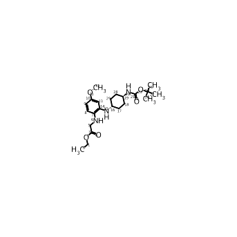 CCOC(=O)CNc1ccc(OC)cc1N[C@H]1CC[C@H](NC(=O)OC(C)(C)C)CC1